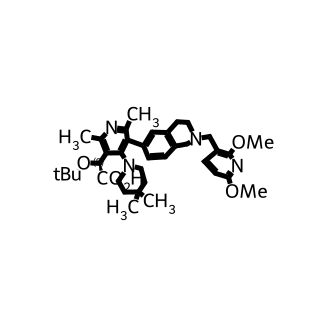 COc1ccc(CN2CCc3cc(-c4c(C)nc(C)c([C@H](OC(C)(C)C)C(=O)O)c4N4CCC(C)(C)CC4)ccc3C2)c(OC)n1